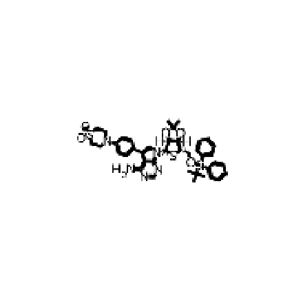 CC1(C)O[C@@H]2[C@H](O1)[C@@H](CO[Si](c1ccccc1)(c1ccccc1)C(C)(C)C)S[C@H]2n1cc(-c2ccc(N3CCS(=O)(=O)CC3)cc2)c2c(N)ncnc21